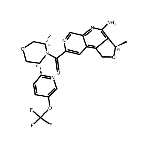 C[C@H]1OCc2c1c(N)nc1cnc(C(=O)N3[C@@H](C)COC[C@H]3c3ccc(OC(F)(F)F)cn3)cc21